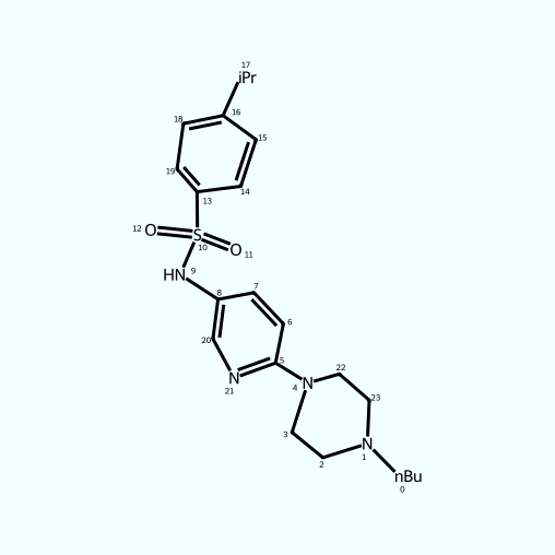 CCCCN1CCN(c2ccc(NS(=O)(=O)c3ccc(C(C)C)cc3)cn2)CC1